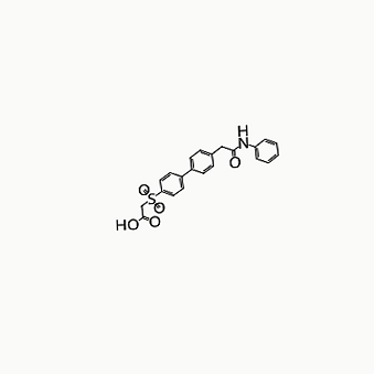 O=C(O)CS(=O)(=O)c1ccc(-c2ccc(CC(=O)Nc3ccccc3)cc2)cc1